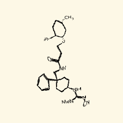 CN/C(=N\C#N)N[C@H]1CC[C@](CNC(=O)CCO[C@H]2C[C@@H](C)CC[C@@H]2C(C)C)(c2ccccc2)CC1